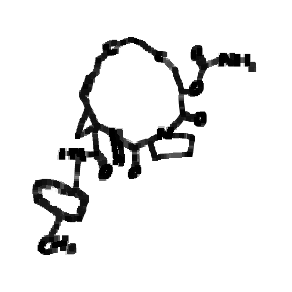 Cc1ccc(NC(=O)C23CC2C=CCCCCCC(OC(N)=O)C(=O)N2CCCC2C(=O)N3)cc1